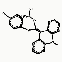 CN1c2ccccc2C(=C(OP(O)O)Sc2ccc(Br)cc2)c2ccccc21